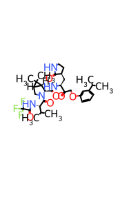 CC(C)c1cccc(OCC(=O)[C@H](C[C@@H]2CCNC2=O)NC(=O)[C@@H]2[C@@H]3[C@H](CN2C(=O)[C@@H](NC(=O)C(F)(F)F)C(C)C)C3(C)C)c1